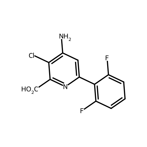 Nc1cc(-c2c(F)cccc2F)nc(C(=O)O)c1Cl